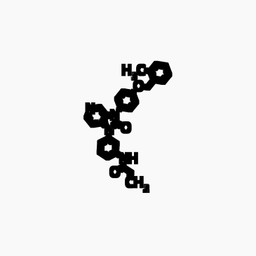 C=CC(=O)Nc1cccc(-n2c(=O)n(-c3ccc(OCc4ccccc4C)cc3)c3cnccc32)c1